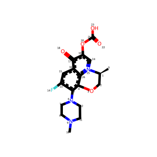 C[C@H]1COc2c(N3CCN(C)CC3)c(F)cc3c(=O)c(OC(=O)O)cn1c23